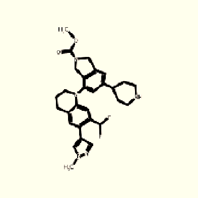 COC(=O)N1Cc2cc(C3CCNCC3)cc(N3CCCc4cc(-c5cnn(C)c5)c(C(F)F)cc43)c2C1